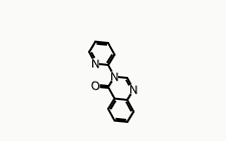 O=c1c2ccccc2ncn1-c1ccccn1